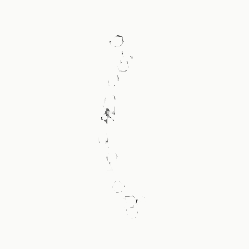 O=c1cc(-c2ccc(OCCOCCOCCn3cc(COCCOc4ccc5c(=O)cc(-c6ccccc6)oc5c4)nn3)cc2)oc2ccccc12